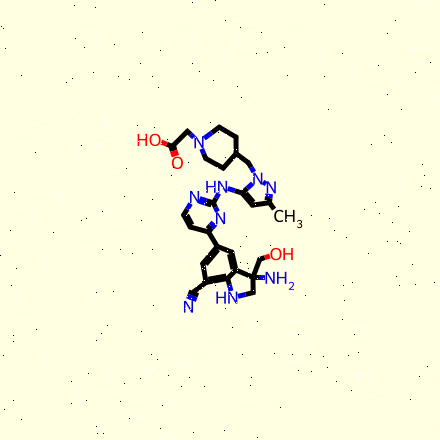 Cc1cc(Nc2nccc(-c3cc(C#N)c4c(c3)C(N)(CO)CN4)n2)n(CC2CCN(CC(=O)O)CC2)n1